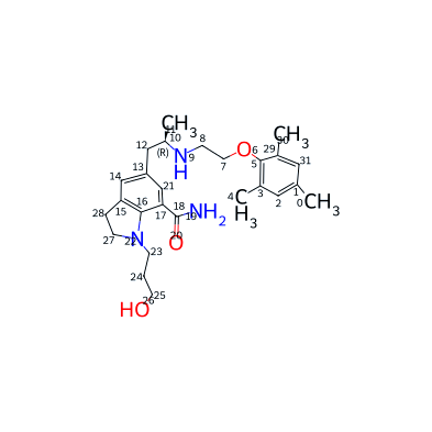 Cc1cc(C)c(OCCN[C@H](C)Cc2cc3c(c(C(N)=O)c2)N(CCCO)CC3)c(C)c1